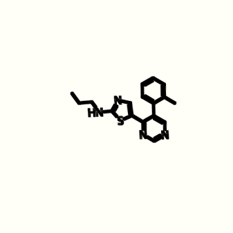 CCCNc1ncc(-c2ncncc2-c2ccccc2C)s1